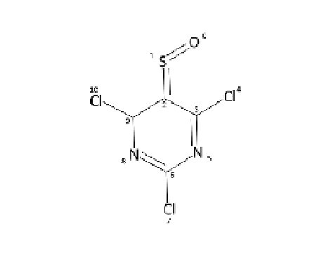 O=S=C1C(Cl)=NC(Cl)=NC1Cl